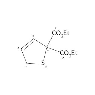 CCOC(=O)C1(C(=O)OCC)C=CCS1